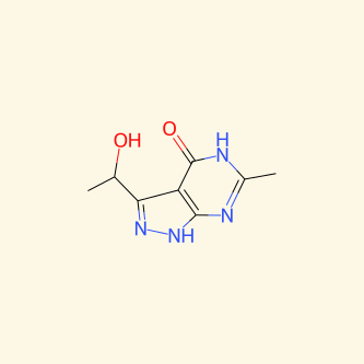 Cc1nc2[nH]nc(C(C)O)c2c(=O)[nH]1